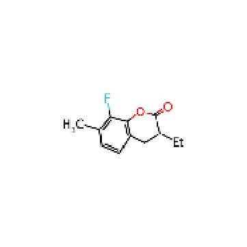 CCC1Cc2ccc(C)c(F)c2OC1=O